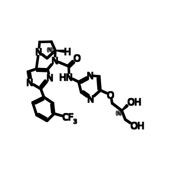 O=C(Nc1cnc(OC[C@@H](O)CO)cn1)N1c2nc(-c3cccc(C(F)(F)F)c3)ncc2N2CC[C@H]1C2